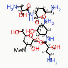 CN[C@@H](C)[C@@H](O)[C@H](OCCO)O[C@@H]1[C@@H](O)[C@H](O[C@H]2OC(CN)=CC[C@H]2NC(=O)C(O)CN)[C@@H](N)C[C@H]1NC(=O)[C@@H](O)CCN